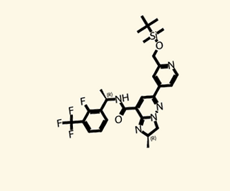 C[C@@H]1CN2N=C(c3ccnc(CO[Si](C)(C)C(C)(C)C)c3)C=C(C(=O)N[C@H](C)c3cccc(C(F)(F)F)c3F)C2=N1